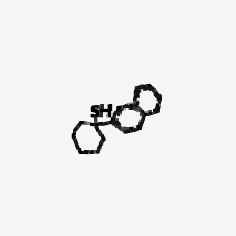 SC1(c2ccc3ccccc3c2)CCCCC1